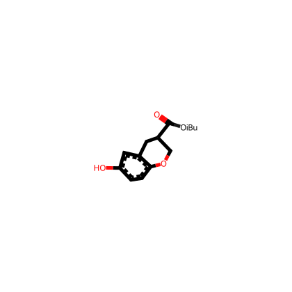 CC(C)COC(=O)C1COc2ccc(O)cc2C1